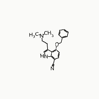 CN(C)CCc1c[nH]c2c(C#N)ccc(OCc3ccccc3)c12